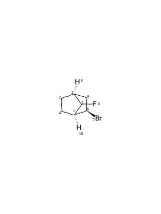 FC1[C@H]2CC[C@@H]1[C@H](Br)C2